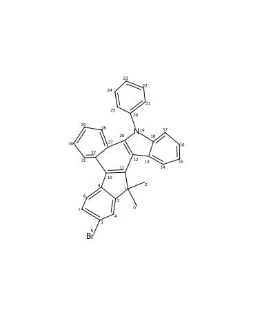 CC1(C)c2cc(Br)ccc2-c2c1c1c3ccccc3n(-c3ccccc3)c1c1ccccc21